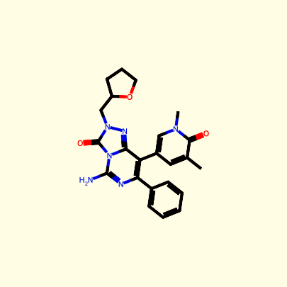 Cc1cc(-c2c(-c3ccccc3)nc(N)n3c(=O)n(CC4CCCO4)nc23)cn(C)c1=O